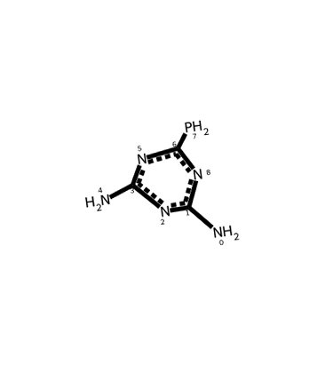 Nc1nc(N)nc(P)n1